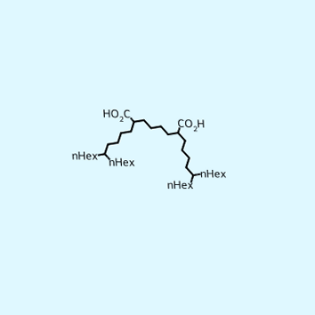 CCCCCCC(CCCCCC)CCCCC(CCCCC(CCCCC(CCCCCC)CCCCCC)C(=O)O)C(=O)O